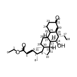 CCOC(=O)/C=C/[C@@H](C)[C@H]1CC[C@H]2[C@@H]3[C@H](O)[C@@H](CC)C4=CC(=O)CC[C@]4(C)[C@H]3CC[C@]12C